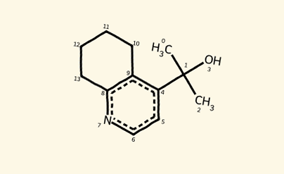 CC(C)(O)c1ccnc2c1CCCC2